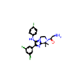 CC1(C)c2nc(-c3cc(F)cc(F)c3)c(Nc3ccc(F)cc3)n2CCN1C(=O)CN